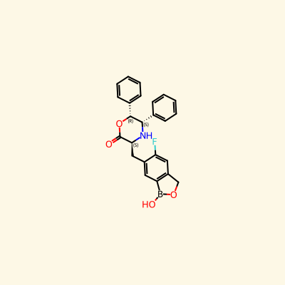 O=C1O[C@H](c2ccccc2)[C@H](c2ccccc2)N[C@H]1Cc1cc2c(cc1F)COB2O